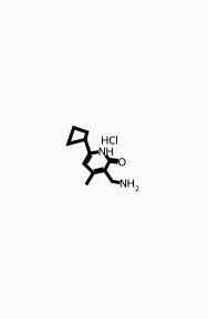 Cc1cc(C2CCC2)[nH]c(=O)c1CN.Cl